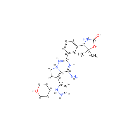 CC1(C)OC(=O)NC1c1cccc(-c2nc(N)c3c(-c4ccnn4C4CCOCC4)ccn3n2)c1